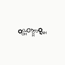 Oc1ccccc1OCC1CCN(CC(O)COc2cccc3[nH]ccc23)CC1